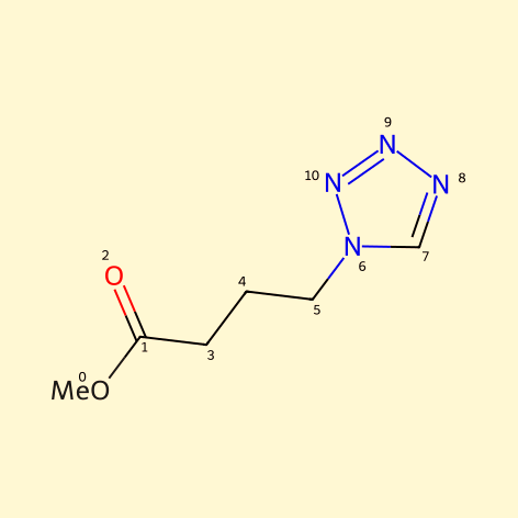 COC(=O)CCCn1cnnn1